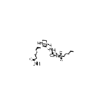 CCCCCS(=O)(=O)NCC(=O)NC[C@@H]1[C@H](C/C=C\CCCC(=O)NC)[C@@H]2CC[C@H]1O2